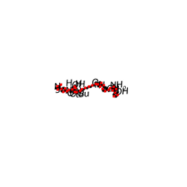 Cc1ncsc1-c1ccc(C(C)NC(=O)C2CC(O)CN2C(=O)C(NC(=O)CCCCCCCCC(=O)N2CCN(Cc3cccc(C(C)Oc4cc(-c5ccccc5O)nnc4N)c3)CC2)C(C)(C)C)cc1